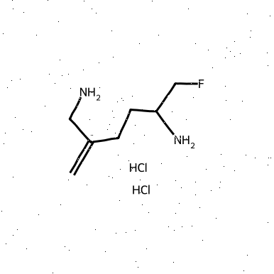 C=C(CN)CCC(N)CF.Cl.Cl